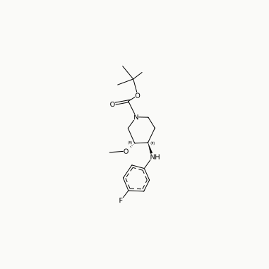 CO[C@@H]1CN(C(=O)OC(C)(C)C)CC[C@H]1Nc1ccc(F)cc1